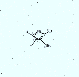 CCn1nc(C)c(C)c1C(C)(C)C